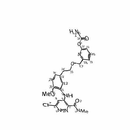 CNC(=O)c1nnc(Cl)cc1Nc1cc(CCOCc2cccc(OC(N)=O)n2)ccc1OC